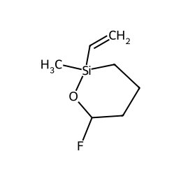 C=C[Si]1(C)CCCC(F)O1